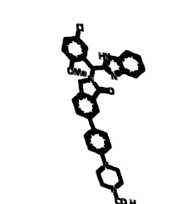 COc1ccc(Cl)cc1C(c1nc2ccccc2[nH]1)N1Cc2ccc(-c3ccc(N4CCN(C(=O)O)CC4)cc3)cc2C1=O